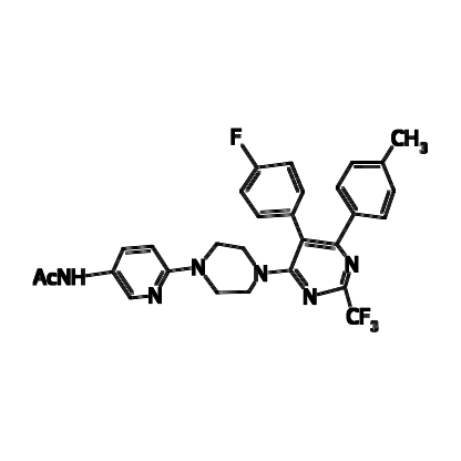 CC(=O)Nc1ccc(N2CCN(c3nc(C(F)(F)F)nc(-c4ccc(C)cc4)c3-c3ccc(F)cc3)CC2)nc1